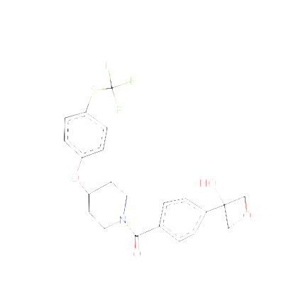 O=C(c1ccc(C2(O)COC2)cc1)N1CCC(Oc2ccc(SC(F)(F)F)cc2)CC1